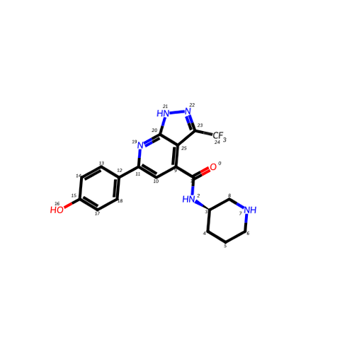 O=C(N[C@@H]1CCCNC1)c1cc(-c2ccc(O)cc2)nc2[nH]nc(C(F)(F)F)c12